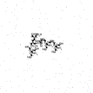 NC(OCO)(OCO)OCO.NC(OCO)(OCO)OCO.NC(OCO)(OCO)OCO.O=C(O)CN(CCN(CC(=O)O)CC(=O)O)CC(=O)O.OB(O)O